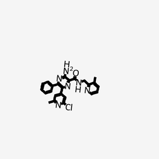 Cc1cc(-c2nc(C(=O)NCc3ncccc3C)c(N)nc2-c2ccccc2)cc(Cl)n1